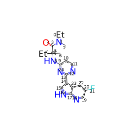 CCN(C)C(=O)[C@@](C)(CC)Nc1ccnc(-c2c[nH]c3ncc(F)cc23)n1